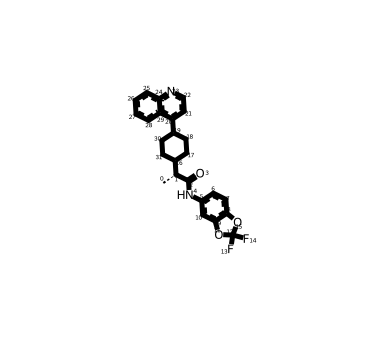 C[C@@H](C(=O)Nc1ccc2c(c1)OC(F)(F)O2)C1CCC(c2ccnc3ccccc23)CC1